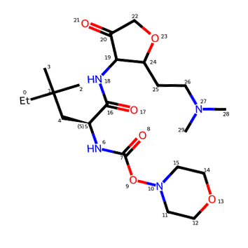 CCC(C)(C)C[C@H](NC(=O)ON1CCOCC1)C(=O)NC1C(=O)COC1CCN(C)C